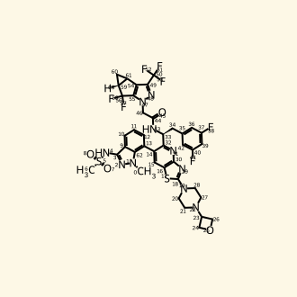 Cn1nc(NS(C)(=O)=O)c2cccc(-c3cc4sc(N5CCN(C6COC6)CC5)nc4nc3[C@H](Cc3cc(F)cc(F)c3)NC(=O)Cn3nc(C(F)(F)F)c4c3C(F)(F)[C@@H]3CC43)c21